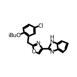 CC(C)COc1ccc(Cl)cc1Cc1nc(-c2nc3ccccc3[nH]2)co1